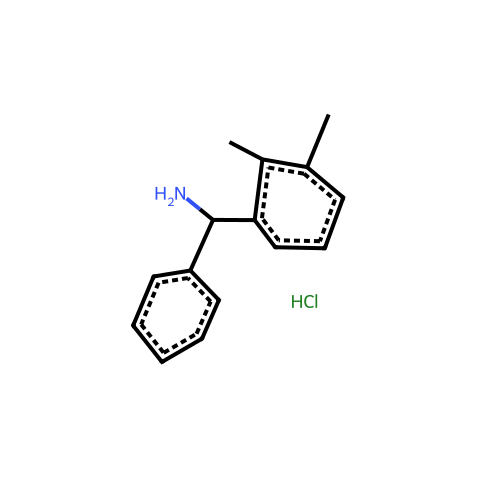 Cc1cccc(C(N)c2ccccc2)c1C.Cl